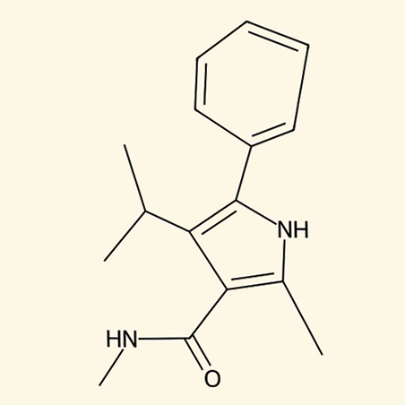 CNC(=O)c1c(C)[nH]c(-c2ccccc2)c1C(C)C